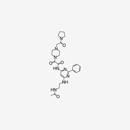 CC(=O)NCCNc1cc(NC(=O)C(=O)N2CCN(CC(=O)N3CCCC3)CC2)nc(-c2ccccc2)n1